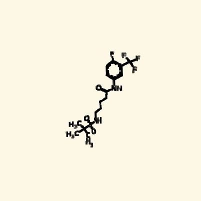 CC(C)(C)S(=O)(=O)NCCCCC(=O)Nc1ccc(F)c(C(F)(F)F)c1